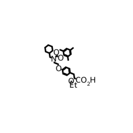 CCOC(Cc1ccc(OCCN(CC2CCCCC2)C(=O)Oc2c(C)cc(C)cc2C)cc1)C(=O)O